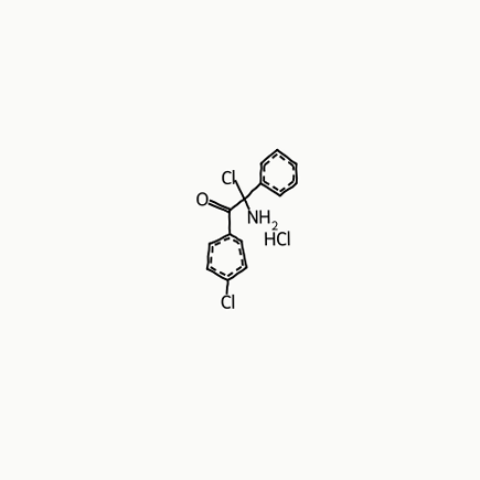 Cl.NC(Cl)(C(=O)c1ccc(Cl)cc1)c1ccccc1